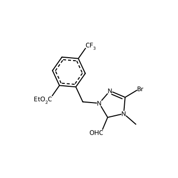 CCOC(=O)c1ccc(C(F)(F)F)cc1CN1N=C(Br)N(C)C1C=O